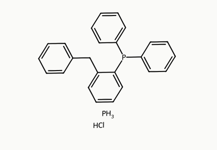 Cl.P.c1ccc(Cc2ccccc2P(c2ccccc2)c2ccccc2)cc1